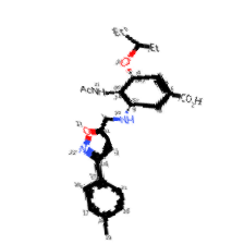 CCC(CC)O[C@@H]1C=C(C(=O)O)C[C@H](NCc2cc(-c3ccc(C)cc3)no2)[C@H]1NC(C)=O